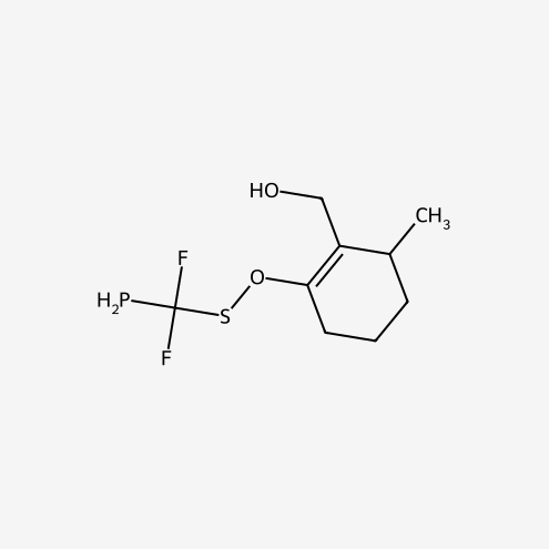 CC1CCCC(OSC(F)(F)P)=C1CO